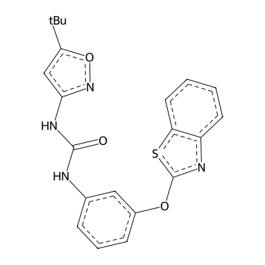 CC(C)(C)c1cc(NC(=O)Nc2cccc(Oc3nc4ccccc4s3)c2)no1